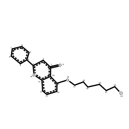 O=c1cc(-c2ccccc2)oc2cccc(OCCCCCCCl)c12